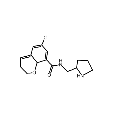 O=C(NCC1CCCN1)C1=CC(Cl)=CC2=CCCOC21